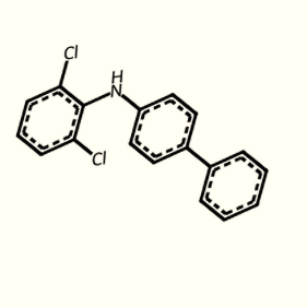 Clc1cccc(Cl)c1Nc1ccc(-c2ccccc2)cc1